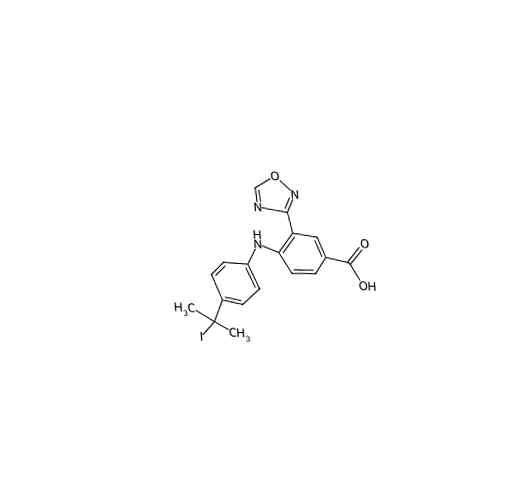 CC(C)(I)c1ccc(Nc2ccc(C(=O)O)cc2-c2ncon2)cc1